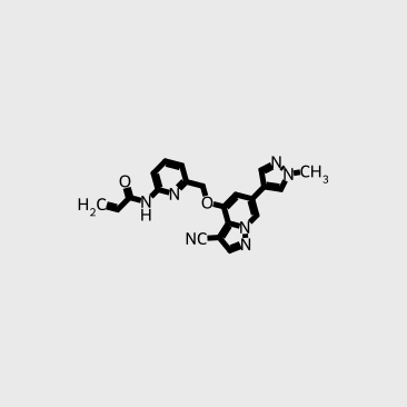 C=CC(=O)Nc1cccc(COc2cc(-c3cnn(C)c3)cn3ncc(C#N)c23)n1